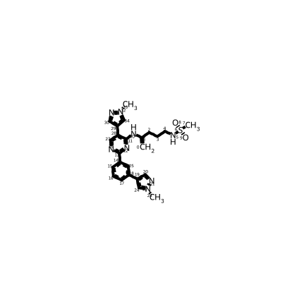 C=C(CCCNS(C)(=O)=O)Nc1nc(-c2cccc(-c3cnn(C)c3)c2)ncc1-c1cnn(C)c1